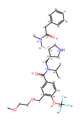 COCCOCc1cc(C(=O)N(C[C@@H]2CNC[C@H]2CN(C)C(=O)Cc2ccccc2)C(C)C)ccc1OC(F)(F)F